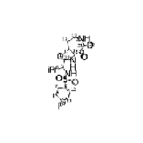 CC(C)C(NS(=O)(=O)c1ccc(F)cc1)C(=O)NC1CCCNC(=O)C1=O